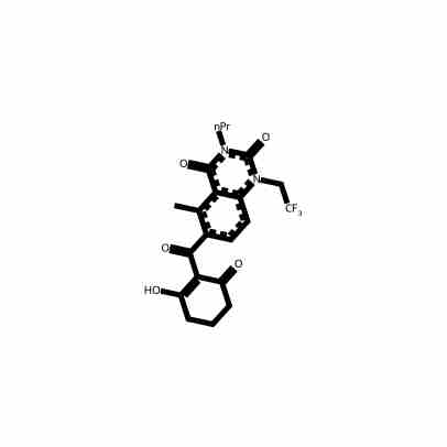 CCCn1c(=O)c2c(C)c(C(=O)C3=C(O)CCCC3=O)ccc2n(CC(F)(F)F)c1=O